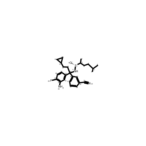 CC(C)CCC(C)[S@@+]([O-])NC(CCC1CC1)(c1cccc(C#N)c1)c1ccc(F)c(N)c1